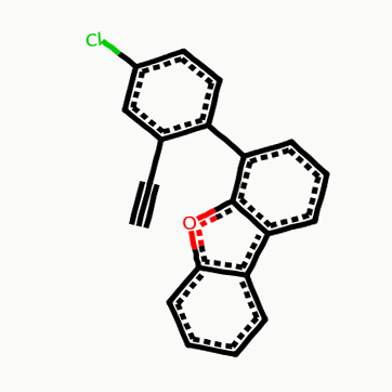 C#Cc1cc(Cl)ccc1-c1cccc2c1oc1ccccc12